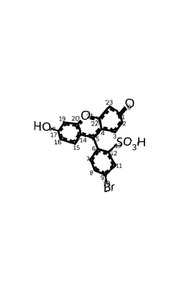 O=c1ccc2c(-c3ccc(Br)cc3S(=O)(=O)O)c3ccc(O)cc3oc-2c1